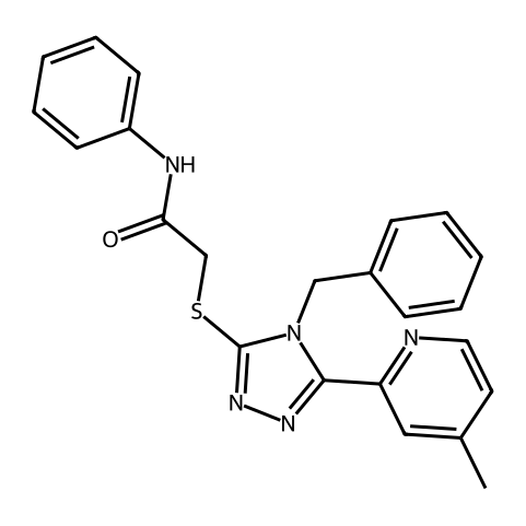 Cc1ccnc(-c2nnc(SCC(=O)Nc3ccccc3)n2Cc2ccccc2)c1